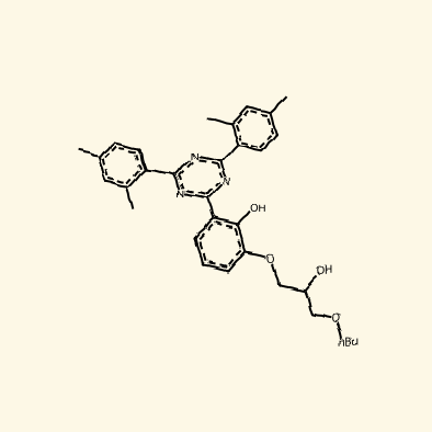 CCCCOCC(O)COc1cccc(-c2nc(-c3ccc(C)cc3C)nc(-c3ccc(C)cc3C)n2)c1O